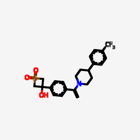 C=C(c1ccc(C2(O)CS(=O)(=O)C2)cc1)N1CCC(c2ccc(C(F)(F)F)cc2)CC1